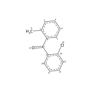 Cc1ccccc1C(=O)c1ccc[c]c1Cl